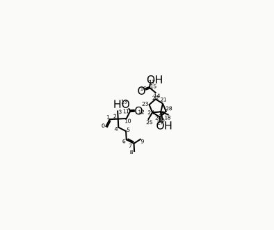 C=CC(C)(CCC=C(C)C)CC(=O)O.CC(=O)O.CC1(C)C2CCC1(C)C(O)C2